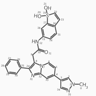 Cn1cc(-c2ccn3c(CC(=O)Nc4ccc5c(c4)S(O)(O)C=C5)c(-c4ccccc4)nc3c2)cn1